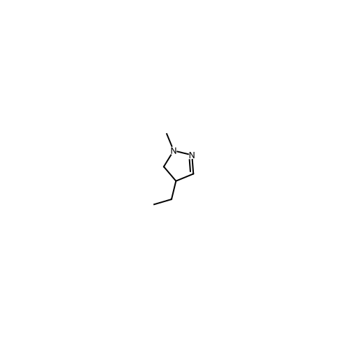 CCC1C=NN(C)C1